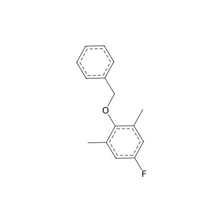 Cc1cc(F)cc(C)c1OCc1ccccc1